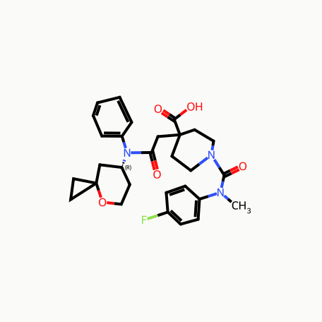 CN(C(=O)N1CCC(CC(=O)N(c2ccccc2)[C@@H]2CCOC3(CC3)C2)(C(=O)O)CC1)c1ccc(F)cc1